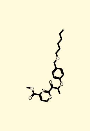 CCCCCCOCc1ccc(OC(C)C(=O)C2=NC(C(=O)OC)=CCS2)cc1